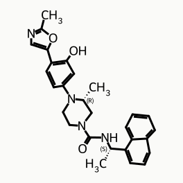 Cc1ncc(-c2ccc(N3CCN(C(=O)N[C@@H](C)c4cccc5ccccc45)C[C@H]3C)cc2O)o1